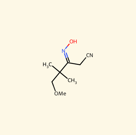 COCC(C)(C)C(CC#N)=NO